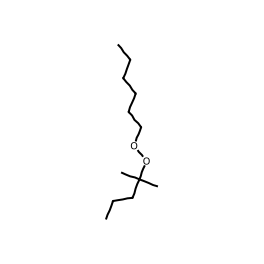 CCCCCCOOC(C)(C)CCC